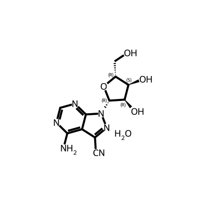 N#Cc1nn([C@@H]2O[C@H](CO)[C@@H](O)[C@H]2O)c2ncnc(N)c12.O